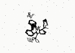 CCCCOC(=O)c1c2cccc(-c3ccccc3)c2n[n+]2c3ccccc3c3ccccc3c12.F[B-](F)(F)F